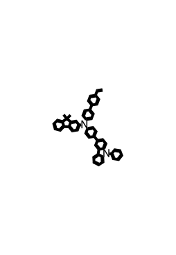 C=Cc1ccc(-c2ccc(N(c3ccc(-c4ccc5c(c4)c4ccccc4n5-c4ccccc4)cc3)c3ccc4c(c3)C(C)(C)c3ccccc3-4)cc2)cc1